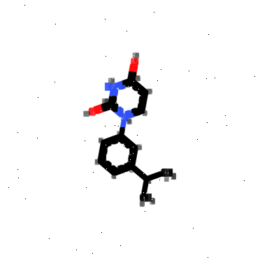 CC(C)c1cccc(-n2ccc(=O)[nH]c2=O)c1